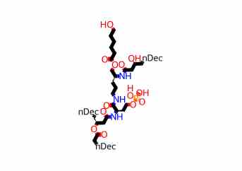 CCCCCCCCCCCC(=O)O[C@H](CCCCCCCCCCC)CC(=O)N[C@H](CCOP(=O)(O)O)C(=O)NCCC[C@H](COC(=O)CCCCCO)NC(=O)C[C@H](O)CCCCCCCCCCC